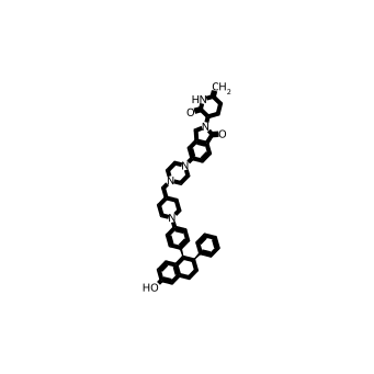 C=C1CCC(N2Cc3cc(N4CCN(CC5CCN(c6ccc([C@@H]7c8ccc(O)cc8CC[C@@H]7c7ccccc7)cc6)CC5)CC4)ccc3C2=O)C(=O)N1